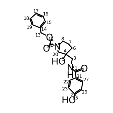 O=C(NCC1(O)CCCN(C(=O)OCc2ccccc2)C1)c1ccc(O)cc1